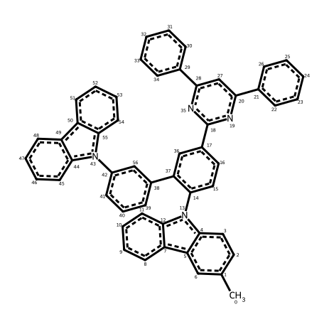 Cc1ccc2c(c1)c1ccccc1n2-c1ccc(-c2nc(-c3ccccc3)cc(-c3ccccc3)n2)cc1-c1cccc(-n2c3ccccc3c3ccccc32)c1